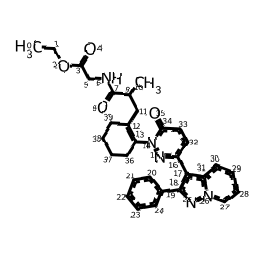 CCOC(=O)CNC(=O)C(C)CC1=C(n2nc(-c3c(-c4ccccc4)nn4ccccc34)ccc2=O)CCCC1